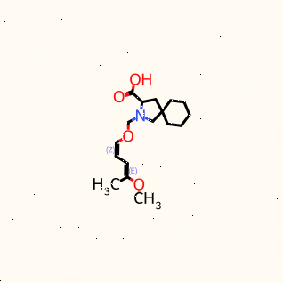 CO/C(C)=C/C=C\OCN1CC2(CCCCC2)CC1C(=O)O